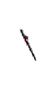 CCCCCCCCCCCCCCCCCCC=CC=COCC(COCCCCCCCC)N(C)C